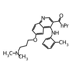 CCCC(=O)c1cnc2ccc(OCCCN(C)C)cc2c1Nc1ccccc1C